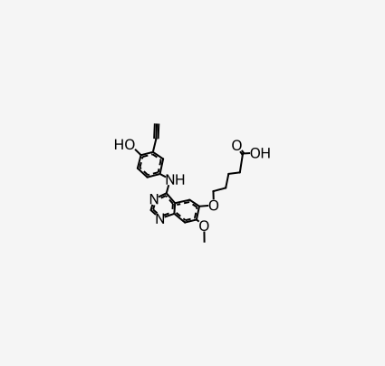 C#Cc1cc(Nc2ncnc3cc(OC)c(OCCCCC(=O)O)cc23)ccc1O